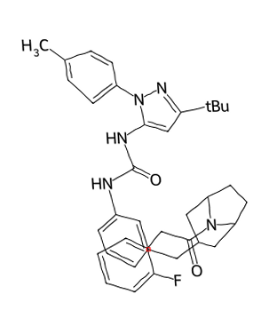 Cc1ccc(-n2nc(C(C)(C)C)cc2NC(=O)Nc2cccc(CC3CC4CCC(C3)N4C(=O)Cc3ccccc3F)c2)cc1